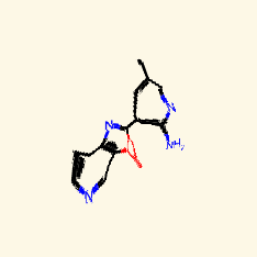 Cc1cnc(N)c(-c2nc3ccncc3o2)c1